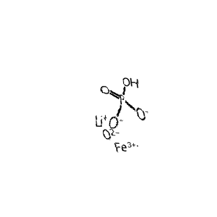 O=P([O-])([O-])O.[Fe+3].[Li+].[O-2]